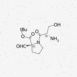 CC(C)(C)OC(=O)[C@@]1(C=O)CCCN1C(=O)[C@@H](N)CO